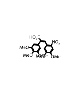 COc1cc(/C=C(/C(=O)O)c2cc(OC)c(OC)c(OC)c2)c([N+](=O)[O-])cc1OC